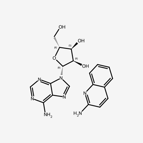 Nc1ccc2ccccc2n1.Nc1ncnc2c1ncn2[C@@H]1O[C@H](CO)[C@@H](O)[C@H]1O